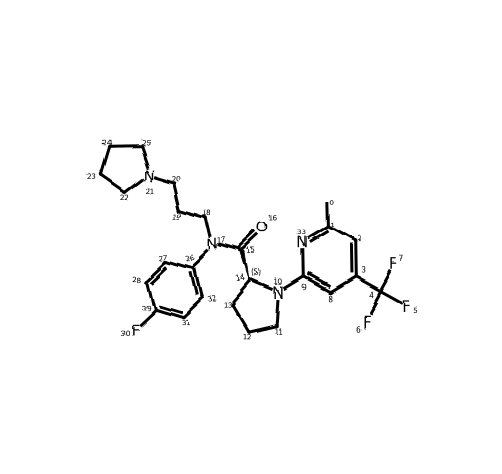 Cc1cc(C(F)(F)F)cc(N2CCC[C@H]2C(=O)N(CCCN2CCCC2)c2ccc(F)cc2)n1